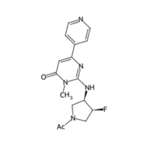 CC(=O)N1C[C@H](F)[C@H](Nc2nc(-c3ccncc3)cc(=O)n2C)C1